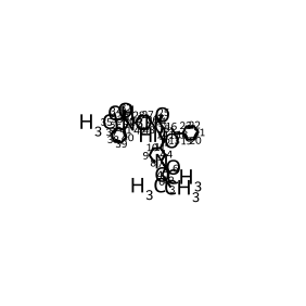 CC(C)(C)OC(=O)N1CCCC(C(=O)N[C@@H](CCc2ccccc2)C(=O)N2CCC(N3C(=O)C(C)(C)c4ccccc43)CC2)C1